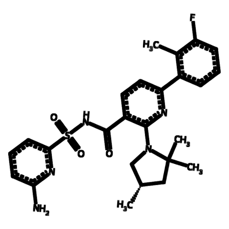 Cc1c(F)cccc1-c1ccc(C(=O)NS(=O)(=O)c2cccc(N)n2)c(N2C[C@@H](C)CC2(C)C)n1